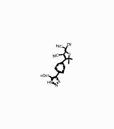 CCCCCCCCc1[nH]nnc1-c1ccc(C2=C(C#N)C(=C(C#N)C#N)OC2(C)C)cc1